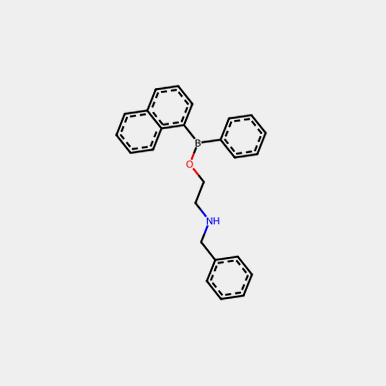 c1ccc(CNCCOB(c2ccccc2)c2cccc3ccccc23)cc1